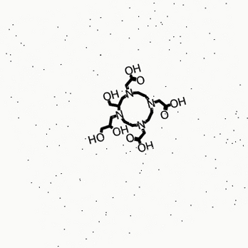 O=C(O)CN1CCN(CC(=O)O)CCN(CC(O)CO)C(CO)CN(CC(=O)O)CC1